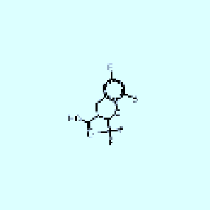 O=C(O)C1Cc2cc(F)cc(Br)c2OC1C(F)(F)F